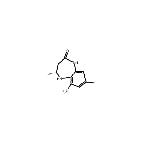 Bc1cc(F)cc2c1N[C@H](C)CC(=O)N2